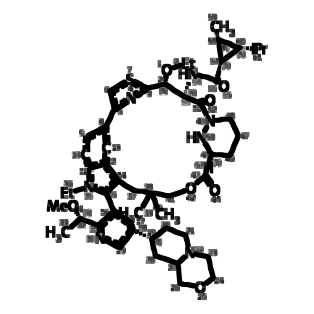 CCO[C@@H]1c2nc(cs2)-c2ccc3c(c2)c(c(-c2cc([C@@H]4CCN5CCOCC5C4)cnc2[C@H](C)OC)n3CC)CC(C)(C)COC(=O)[C@@H]2CCCN(N2)C(=O)[C@H]1NC(=O)[C@H]1[C@H](C)[C@@H]1C(C)C